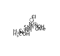 COC(O)N1CCC2(C1)CN(CNC1NC(C(O)N(C)C)CS1)C1CC[C@@H](Cl)C=C12